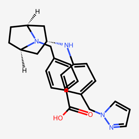 O=C(O)c1ccc(CN2[C@@H]3CC[C@H]2C[C@H](Nc2ccc(Cn4cccn4)cc2)C3)cc1